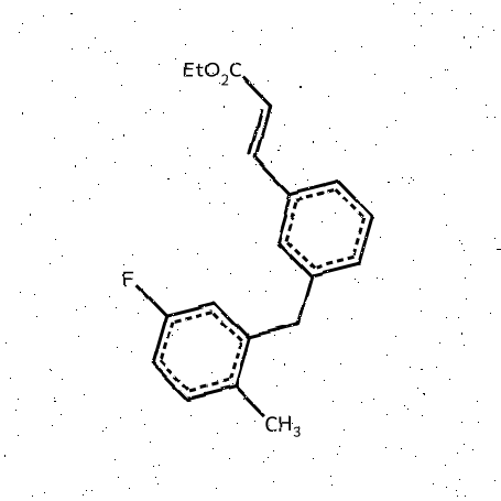 CCOC(=O)/C=C/c1cccc(Cc2cc(F)ccc2C)c1